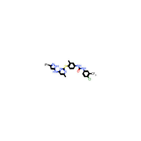 Cc1cc(Nc2cc(C(C)C)n[nH]2)nc(Sc2ccc(NC(=O)Nc3ccc(Cl)c(C(F)(F)F)c3)cc2C)n1